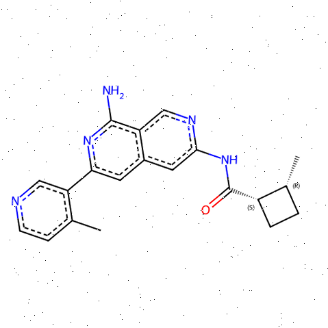 Cc1ccncc1-c1cc2cc(NC(=O)[C@H]3CC[C@H]3C)ncc2c(N)n1